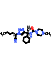 CCCC[C@@H](C#N)n1cc([C@@](C)(NC(=O)N2CCN(C)CC2)C2CCCCC2)nn1